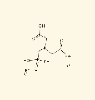 O=C(O)CN(CC(=O)O)CP(=O)(O)O.[K+].[K+].[K+]